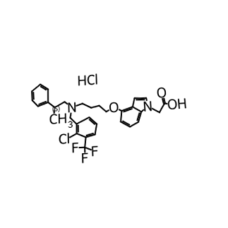 C[C@H](CN(CCCCOc1cccc2c1ccn2CC(=O)O)Cc1cccc(C(F)(F)F)c1Cl)c1ccccc1.Cl